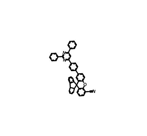 N#Cc1cccc2c1Oc1ccc(-c3ccc(-c4cc(-c5ccccc5)nc(-c5ccccc5)n4)cc3)cc1C21c2ccccc2C2C=CC=CC21